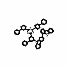 c1ccc(-c2ccc(-c3nc(-c4cccc(-c5ccccc5)c4)nc(-c4cc(-c5ccccc5)cc(-n5c6ccccc6c6ccc(-c7cccc8c7sc7ccccc78)cc65)c4)n3)cc2)cc1